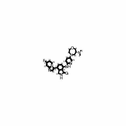 CN(C)[C@H]1COCCN(c2ccc(Nc3ccc(-c4cnc5cc(F)ccn45)c4c3C(=O)NC4)nc2)C1